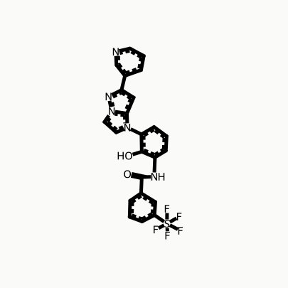 O=C(Nc1cccc(-n2ccn3nc(-c4cccnc4)cc23)c1O)c1cccc(S(F)(F)(F)(F)F)c1